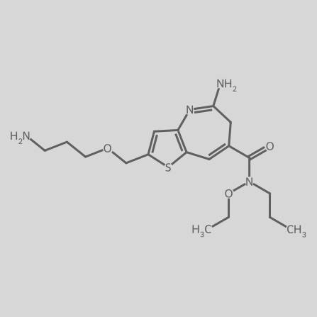 CCCN(OCC)C(=O)C1=Cc2sc(COCCCN)cc2N=C(N)C1